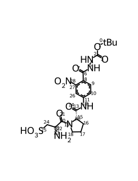 CC(C)(C)OC(=O)NNC(=O)c1ccc(NC(=O)[C@@H]2CCCN2C(=O)[C@@H](N)CS(=O)(=O)O)cc1[N+](=O)[O-]